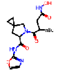 CCCCC(CC(=O)NO)C(=O)N1CC2(CC2)CC1C(=O)Nc1ncco1